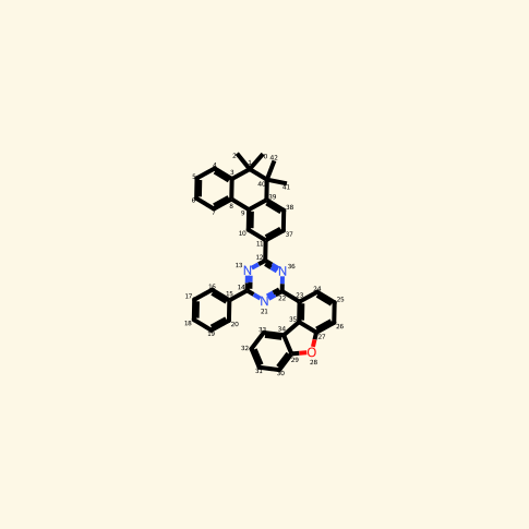 CC1(C)c2ccccc2-c2cc(-c3nc(-c4ccccc4)nc(-c4cccc5oc6ccccc6c45)n3)ccc2C1(C)C